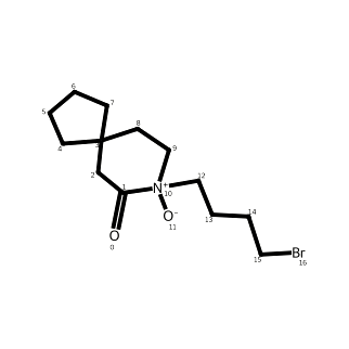 O=C1CC2(CCCC2)CC[N+]1([O-])CCCCBr